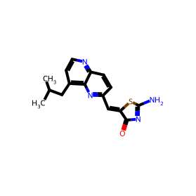 CC(C)Cc1ccnc2ccc(/C=C3\SC(N)=NC3=O)nc12